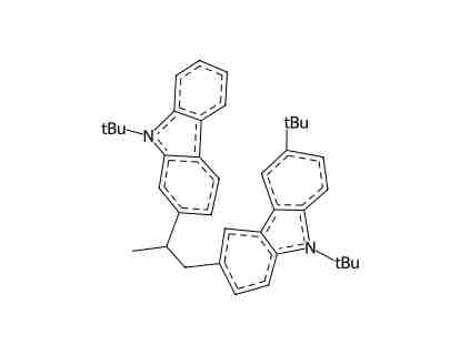 CC(Cc1ccc2c(c1)c1cc(C(C)(C)C)ccc1n2C(C)(C)C)c1ccc2c3ccccc3n(C(C)(C)C)c2c1